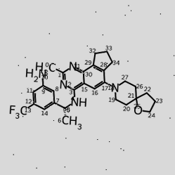 Cc1nc(N[C@H](C)c2cc(N)cc(C(F)(F)F)c2)c2cc(N3CCC4(CCCO4)CC3)c3c(c2n1)CCC3